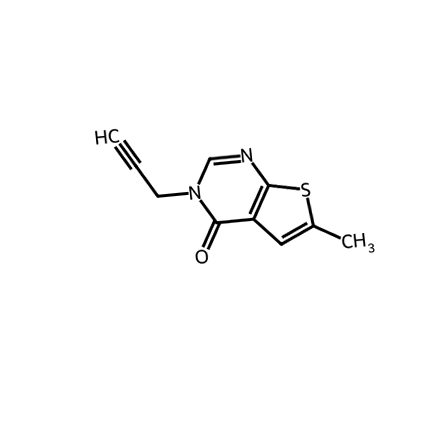 C#CCn1cnc2sc(C)cc2c1=O